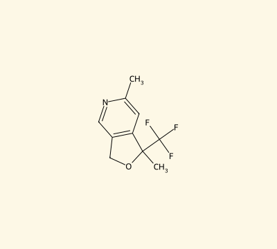 Cc1cc2c(cn1)COC2(C)C(F)(F)F